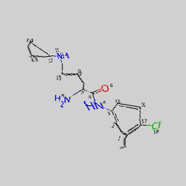 Cc1cc(NC(=O)C(N)CCNC2CC2)ccc1Cl